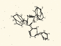 c1cc(-c2nc(C34CC5CC(CC(C5)C3)C4)nc(C34CC5CC(CC(C5)C3)C4)n2)cc(-n2cccn2)c1